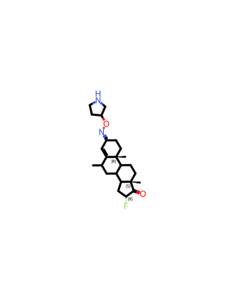 CC1CC2C(CC[C@]3(C)C(=O)[C@H](F)CC23)[C@@]2(C)CCC(=NOC3CCNC3)C=C12